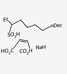 CCCCCCCCCCCCCCC(CC)S(=O)(=O)O.O=C(O)/C=C\C(=O)O.[NaH]